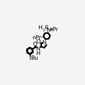 CCC[C@@H]1C[C@H](N(C)C(C)C)CC[C@@H]1N1CCC(NC(=O)c2cccc(C(C)(C)C)c2)C1=O